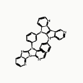 c1ccc(-n2c3ccncc3c3c4ncccc4n(-c4cccc(-n5c6cccnc6n6c7ncccc7nc56)c4)c32)cc1